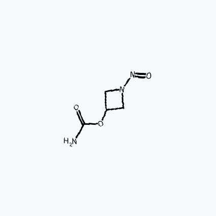 NC(=O)OC1CN(N=O)C1